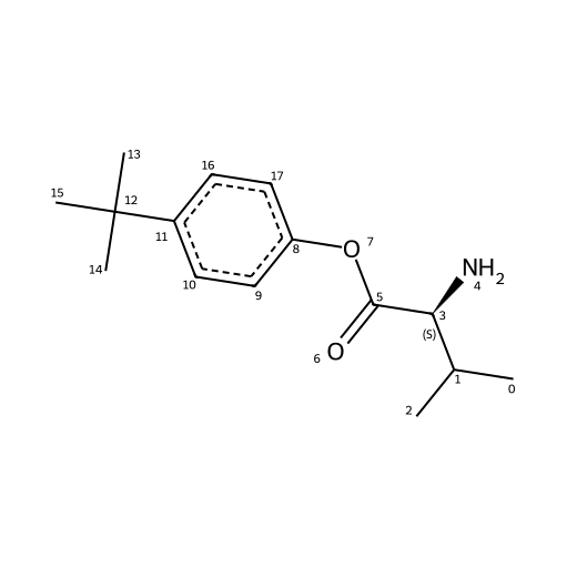 CC(C)[C@H](N)C(=O)Oc1ccc(C(C)(C)C)cc1